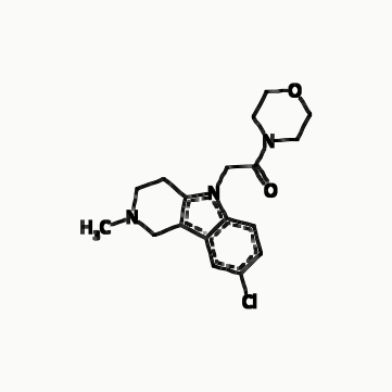 CN1CCc2c(c3cc(Cl)ccc3n2CC(=O)N2CCOCC2)C1